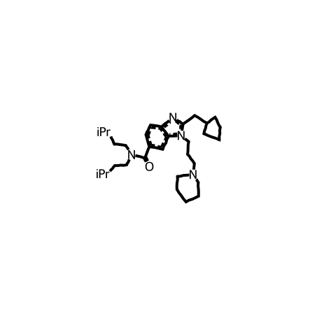 CC(C)CCN(CCC(C)C)C(=O)c1ccc2nc(CC3CCCC3)n(CCCN3CCCCC3)c2c1